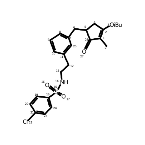 CC1=C(OCC(C)C)CC(Cc2cccc(CCNS(=O)(=O)c3ccc(Cl)cc3)c2)C1=O